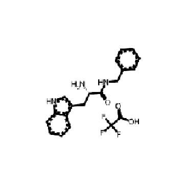 N[C@@H](Cc1c[nH]c2ccccc12)C(=O)NCc1ccccc1.O=C(O)C(F)(F)F